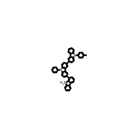 Cc1ccc(-n2c3ccccc3c3cc(-c4ccc5c(c4)c4cc(-c6cccc7c6[SiH2]c6ccccc6-7)ccc4n5-c4ccccc4)ccc32)cc1